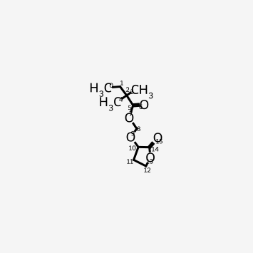 CCC(C)(C)C(=O)OCOC1CCOC1=O